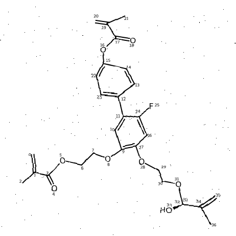 C=C(C)C(=O)OCCOc1cc(-c2ccc(OC(=O)C(=C)C)cc2)c(F)cc1OCCO[C@H](O)C(=C)C